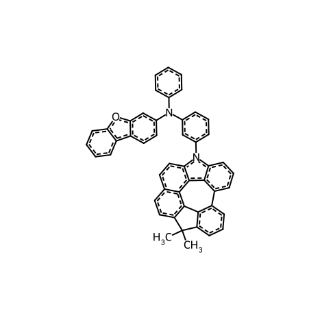 CC1(C)c2cccc3c2-c2c1ccc1ccc4c(c21)c1c-3cccc1n4-c1cccc(N(c2ccccc2)c2ccc3c(c2)oc2ccccc23)c1